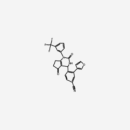 N#Cc1ccc(C2NC(=O)N(c3cccc(C(F)(F)F)c3)C3=C2C(=O)CC3)c(-c2ccoc2)c1